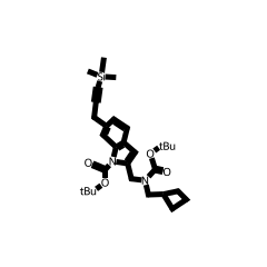 CC(C)(C)OC(=O)N(Cc1cc2ccc(CC#C[Si](C)(C)C)cc2n1C(=O)OC(C)(C)C)CC1CCC1